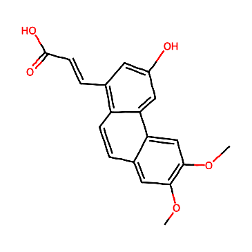 COc1cc2ccc3c(/C=C/C(=O)O)cc(O)cc3c2cc1OC